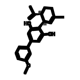 C=C(C)[C@@H]1CCC(C)=C[C@H]1c1c(O)cc(-c2cccc(OC)c2)cc1O